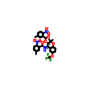 Cc1ccc([N+](=O)[O-])c(C(=O)N[C@@H]2c3cc(OC(F)(F)F)ccc3OC(C)(C)[C@H]2OC(=O)c2cc(C)ccc2[N+](=O)[O-])c1